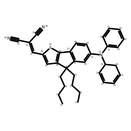 CCCCC1(CCCC)c2cc(N(c3ccccc3)C3C=CC=CC3)ccc2-c2sc(C=C(C#N)C#N)cc21